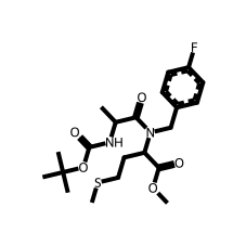 COC(=O)C(CCSC)N(Cc1ccc(F)cc1)C(=O)C(C)NC(=O)OC(C)(C)C